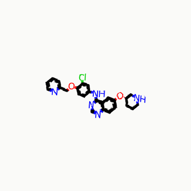 Clc1cc(Nc2ncnc3ccc(O[C@H]4CCCNC4)cc23)ccc1OCc1ccccn1